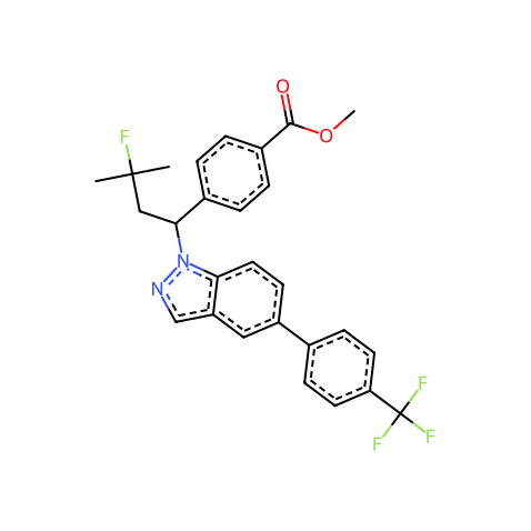 COC(=O)c1ccc(C(CC(C)(C)F)n2ncc3cc(-c4ccc(C(F)(F)F)cc4)ccc32)cc1